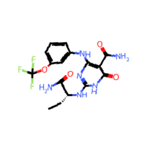 CC[C@@H](Nc1nc(Nc2cccc(OC(F)(F)F)c2)c(C(N)=O)c(=O)[nH]1)C(N)=O